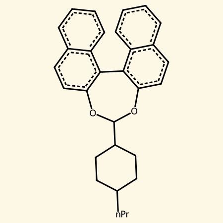 CCCC1CCC(C2Oc3ccc4ccccc4c3-c3c(ccc4ccccc34)O2)CC1